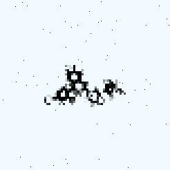 Cc1cc2cc(N3CCO[C@@H](c4cnn(C)c4)C3)nc(-c3ccc(Cl)cc3F)c2cc1C